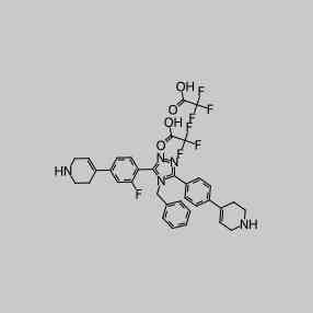 Fc1cc(C2=CCNCC2)ccc1-c1nnc(-c2ccc(C3=CCNCC3)cc2)n1Cc1ccccc1.O=C(O)C(F)(F)F.O=C(O)C(F)(F)F